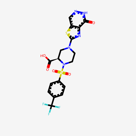 O=C(O)[C@H]1CN(c2nc3c(=O)[nH]ncc3s2)CCN1S(=O)(=O)c1ccc(C(F)(F)F)cc1